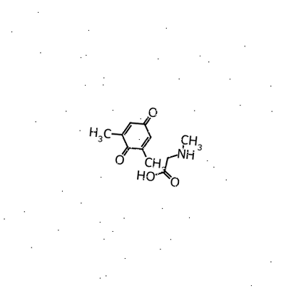 CC1=CC(=O)C=C(C)C1=O.CNCC(=O)O